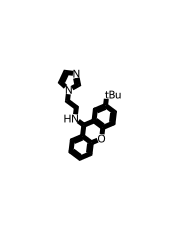 CC(C)(C)c1ccc2c(c1)C(NCCn1ccnc1)c1ccccc1O2